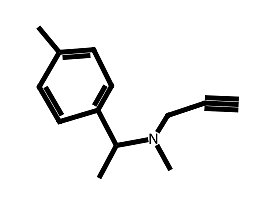 C#CCN(C)C(C)c1ccc(C)cc1